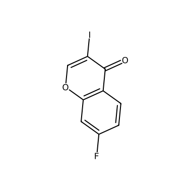 O=c1c(I)coc2cc(F)ccc12